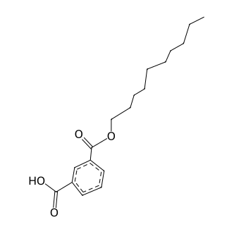 CCCCCCCCCCOC(=O)c1cccc(C(=O)O)c1